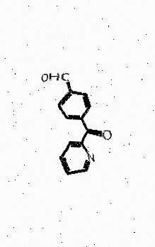 O=Cc1ccc(C(=O)c2ccccn2)cc1